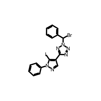 BrC(c1ccccc1)n1nnc(-c2cnn(-c3ccccc3)c2I)n1